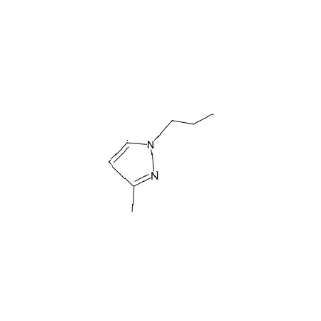 CCCn1[c]cc(C)n1